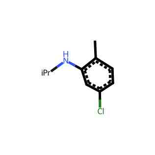 Cc1ccc(Cl)cc1NC(C)C